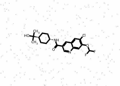 CC(C)(O)[C@H]1CC[C@H](NC(=O)c2cnc3cc(OC(F)F)c(Cl)cc3c2)CC1